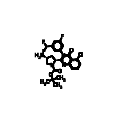 CC(C)(C)OC(=O)N1C[C@H](N)C[C@H]1c1nc2cccc(Cl)c2c(=O)n1-c1cc(F)cc(C(F)F)c1